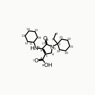 CCC1(N2CC(C(=O)O)=C(NC3CCCCC3)C2=O)CCCCC1